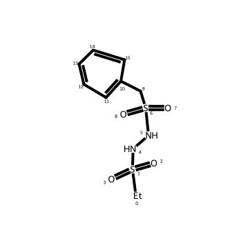 CCS(=O)(=O)NNS(=O)(=O)Cc1ccccc1